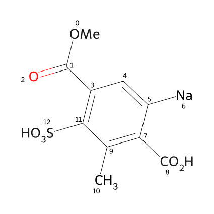 COC(=O)c1c[c]([Na])c(C(=O)O)c(C)c1S(=O)(=O)O